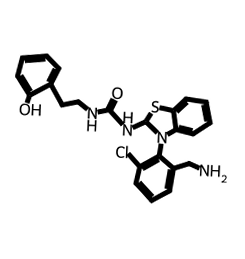 NCc1cccc(Cl)c1N1c2ccccc2SC1NC(=O)NCCc1ccccc1O